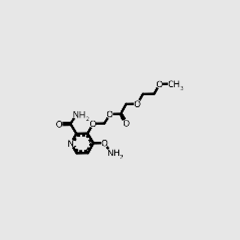 COCCOCC(=O)OCOc1c(ON)ccnc1C(N)=O